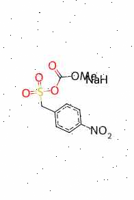 COC(=O)OS(=O)(=O)Cc1ccc([N+](=O)[O-])cc1.[NaH]